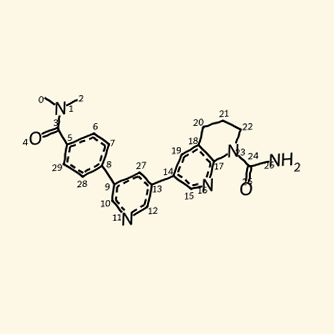 CN(C)C(=O)c1ccc(-c2cncc(-c3cnc4c(c3)CCCN4C(N)=O)c2)cc1